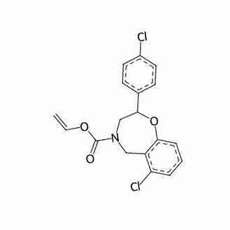 C=COC(=O)N1Cc2c(Cl)cccc2OC(c2ccc(Cl)cc2)C1